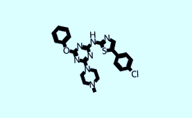 CN1CCN(c2nc(Nc3ncc(-c4ccc(Cl)cc4)s3)nc(Oc3ccccc3)n2)CC1